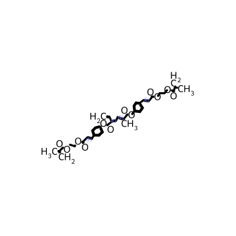 C=C/C(=C\C=C(/C)C(=O)Oc1ccc(/C=C/C(=O)OCCOC(=O)C(=C)C)cc1)C(=O)Oc1ccc(/C=C/C(=O)OCCOC(=O)C(=C)C)cc1